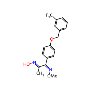 CON=C(C(C)=NO)c1ccc(OCc2cccc(C(F)(F)F)c2)cc1